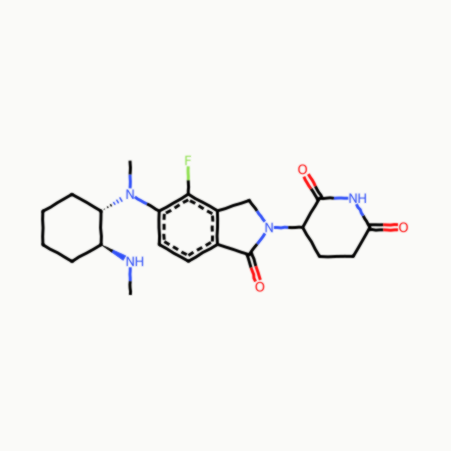 CN[C@H]1CCCC[C@@H]1N(C)c1ccc2c(c1F)CN(C1CCC(=O)NC1=O)C2=O